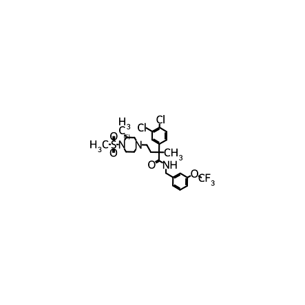 C[C@H]1CN(CCC(C)(C(=O)NCc2cccc(OC(F)(F)F)c2)c2ccc(Cl)c(Cl)c2)CCN1S(C)(=O)=O